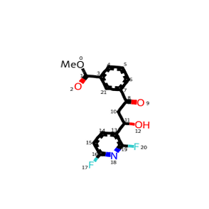 COC(=O)c1cccc(C(=O)CC(O)c2ccc(F)nc2F)c1